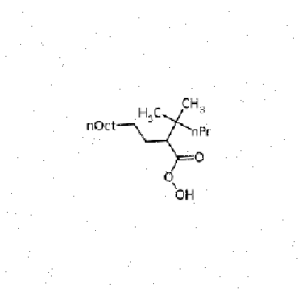 CCCCCCCCCCC(C(=O)OO)C(C)(C)CCC